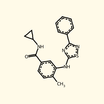 Cc1ccc(C(=O)NC2CC2)cc1Nc1nc(-c2ccccc2)ns1